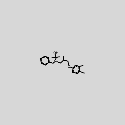 Cc1ccc(OCC(C)CN(Cc2ccccc2)C(C)(C)O)cc1C